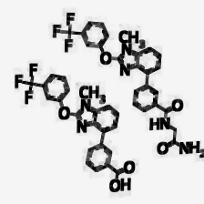 Cn1c(Oc2cccc(C(F)(F)F)c2)nc2c(-c3cccc(C(=O)NCC(N)=O)c3)cccc21.Cn1c(Oc2cccc(C(F)(F)F)c2)nc2c(-c3cccc(C(=O)O)c3)cccc21